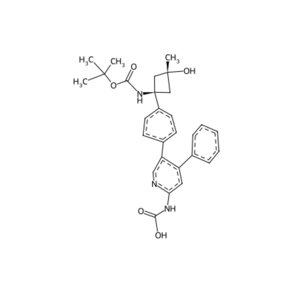 CC(C)(C)OC(=O)N[C@]1(c2ccc(-c3cnc(NC(=O)O)cc3-c3ccccc3)cc2)C[C@@](C)(O)C1